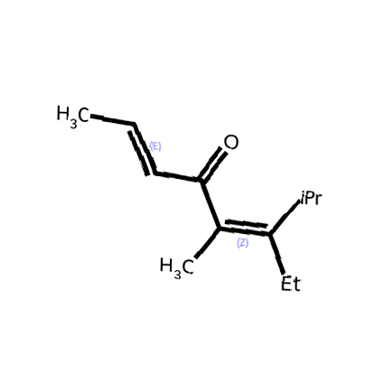 C/C=C/C(=O)/C(C)=C(/CC)C(C)C